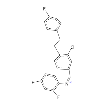 Fc1ccc(CCc2ccc(/C=N\c3ccc(F)cc3F)cc2Cl)cc1